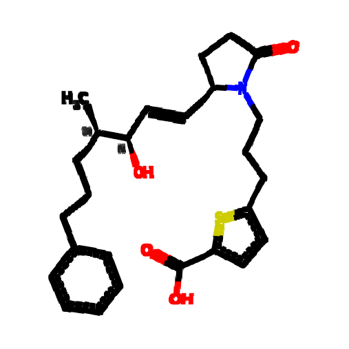 C[C@H](CCCc1ccccc1)[C@H](O)C=CC1CCC(=O)N1CCCc1ccc(C(=O)O)s1